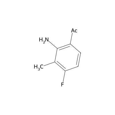 CC(=O)c1ccc(F)c(C)c1N